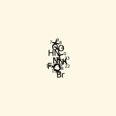 CC(NC(=O)OC(C)(C)C)c1nc2c(F)cc(Br)cc2n1C(C)C